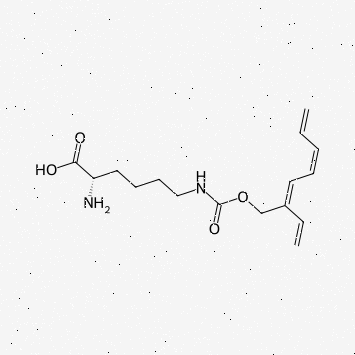 C=C/C=C\C=C(/C=C)COC(=O)NCCCC[C@H](N)C(=O)O